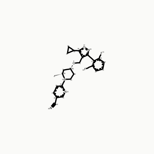 C[C@@H]1C[C@H](OCc2c(-c3c(F)cccc3F)noc2C2CC2)CCN1c1ccc(C#N)cn1